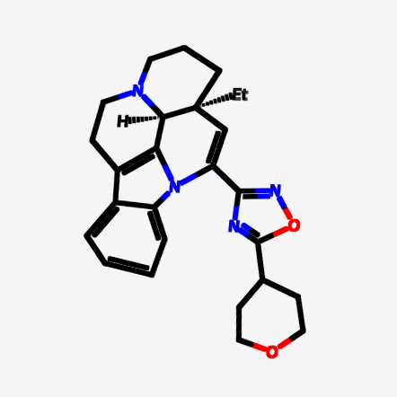 CC[C@@]12C=C(c3noc(C4CCOCC4)n3)n3c4c(c5ccccc53)CCN(CCC1)[C@H]42